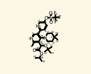 Cc1ncc(-c2ccc(OS(=O)(=O)C(F)(F)F)cn2)c(N2CCC(C)(C)CC2)c1C(OC(C)(C)C)C(=O)OC(C)C